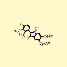 COc1cc2c(cc1OC)[N+]([O-])=C(c1ccc(F)c(C)c1C)C2=O